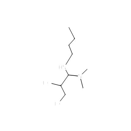 CCCCNC(C(O)CO)N(C)C